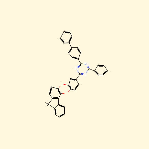 CC1(C)c2ccccc2-c2c1ccc1c2Oc2ccc(-c3nc(-c4ccccc4)nc(-c4ccc(-c5ccccc5)cc4)n3)cc2O1